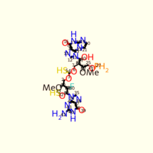 CO[C@H](COC(S)OC[C@@H]([C@@H](O)n1cnc2c(=O)[nH]c3nccn3c21)[C@@H](COP)OC)[C@@H](F)[C@@H](OS)n1cnc2c(=O)[nH]c(N)nc21